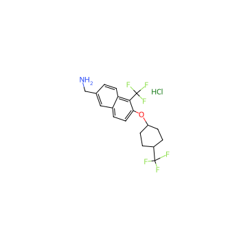 Cl.NCc1ccc2c(C(F)(F)F)c(OC3CCC(C(F)(F)F)CC3)ccc2c1